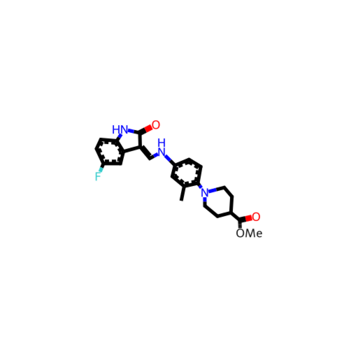 COC(=O)C1CCN(c2ccc(NC=C3C(=O)Nc4ccc(F)cc43)cc2C)CC1